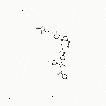 COc1ccc(C2C(CC[C@H](O)c3ccccc3)C(=O)N2c2ccc(NC(=O)CCCCNC(=O)C(Cc3ccc(N=[N+]=[N-])cc3)NC(=O)CCCCC3SCC4NOCNC43)cc2)cc1